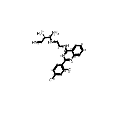 C[C@H](C=N)C(N)NCCNc1nc(-c2ccc(Cl)cc2Cl)nc2ccccc12